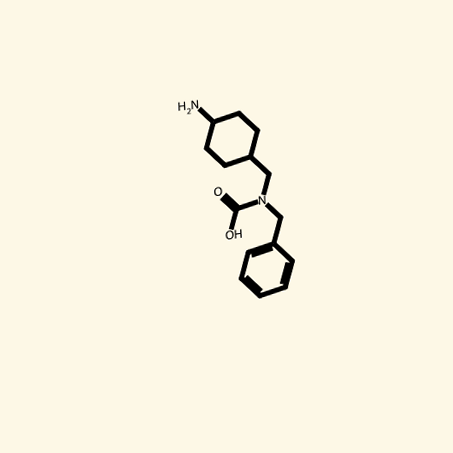 NC1CCC(CN(Cc2ccccc2)C(=O)O)CC1